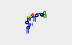 O=C(CSc1nc(-c2cccc(NC3CCNCC3)c2)cs1)NC1CCN(Cc2ccc(Cl)c(Cl)c2)CC1